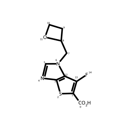 O=C(O)c1sc2ncn(CC3CCO3)c2c1F